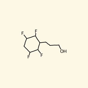 OCCCC1C(F)C(F)CC(F)C1F